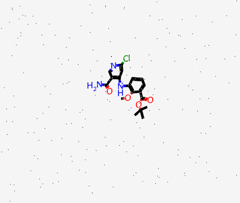 COc1c(Nc2cc(Cl)ncc2C(N)=O)cccc1C(=O)OC(C)(C)C